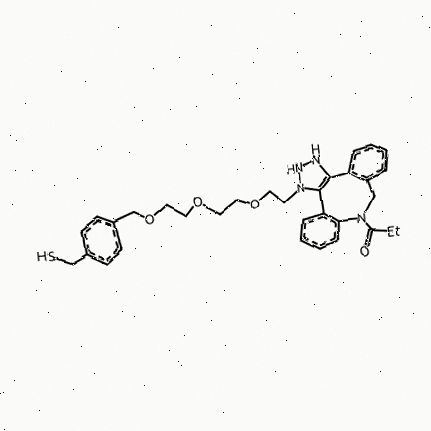 CCC(=O)N1Cc2ccccc2C2=C(c3ccccc31)N(CCOCCOCCOCc1ccc(CS)cc1)NN2